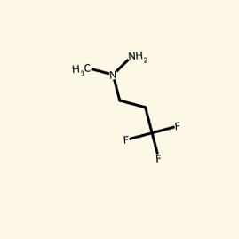 CN(N)CCC(F)(F)F